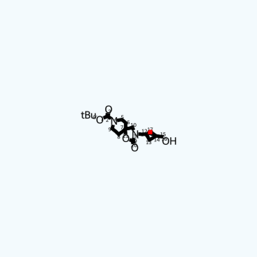 CC(C)(C)OC(=O)N1CCC2(CC1)CN(C13CC(CO)(C1)C3)C(=O)O2